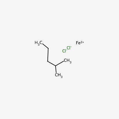 CCCC(C)C.[Cl-].[Cl-].[Fe+2]